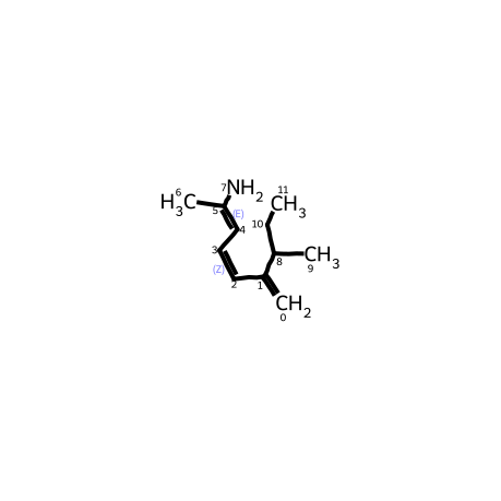 C=C(/C=C\C=C(/C)N)C(C)CC